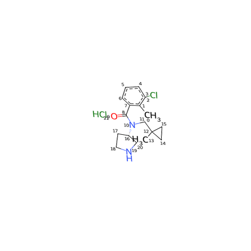 Cc1c(Cl)cccc1C(=O)N(CC1(C)CC1)[C@H]1CCNC1.Cl